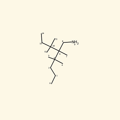 CCCC(C)(C)C(C)(CN)C(C)(C)CC